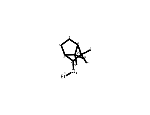 CCOC1C2CCC(C2(C)C)C1(C)C